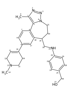 Cc1nnn2c1-c1ccc(C3=CCN(C)CC3)cc1C(CNc1ccc(CO)cc1)CC2